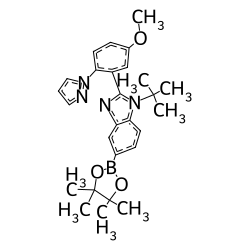 COc1ccc(-n2cccn2)c(-c2nc3cc(B4OC(C)(C)C(C)(C)O4)ccc3n2C(C)(C)C)c1